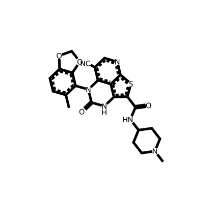 Cc1ccc2c(c1N1C(=O)Nc3c(C(=O)NC4CCN(C)CC4)sc4ncc(C#N)c1c34)OCO2